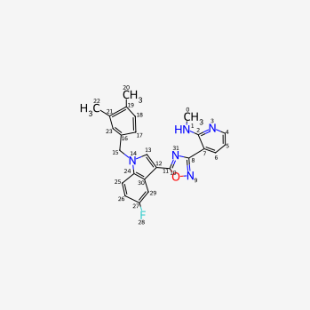 CNc1ncccc1-c1noc(-c2cn(Cc3ccc(C)c(C)c3)c3ccc(F)cc23)n1